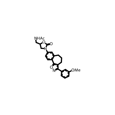 COc1cccc(-c2noc3c2CCCc2cc(N4CC(CNC(C)=O)OC4=O)ccc2-3)c1